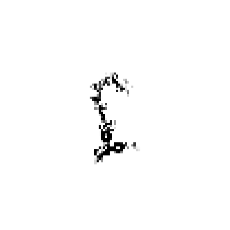 Cc1ccc(-c2cc(C(F)(F)F)nn2-c2ccc(S(=O)(=O)NC(=O)CCC(=O)OC3CN([N+]([O-])=NOC(C)OC(=O)C(C)C)C3)cc2)cc1